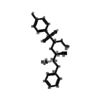 Cc1ccc(S(=O)(=O)N(CC(C)C)C[C@@H](O)[C@@H](N)Cc2ccccc2)cc1